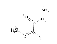 CC(=C[SiH3])C(=O)O[SiH3]